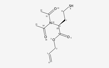 C=CCOC(=O)[C@H](CCS)N(C(C)=O)C(C)=O